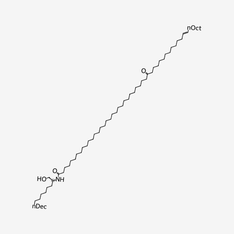 CCCCCCCCC=CCCCCCCCCCCCC(=O)CCCCCCCCCCCCCCCCCCCCCCCCCCCCCC(=O)N[C@H](CO)CCCCCCCCCCCCCCCC